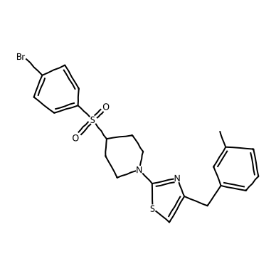 Cc1cccc(Cc2csc(N3CCC(S(=O)(=O)c4ccc(Br)cc4)CC3)n2)c1